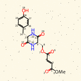 COC(=O)/C=C/C(=O)OC[C@@H]1NC(=O)[C@H](Cc2ccc(O)cc2)NC1=O